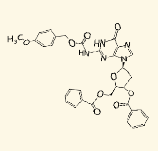 COc1ccc(COC(=O)Nc2nc3c(ncn3[C@H]3CC(OC(=O)c4ccccc4)[C@@H](COC(=O)c4ccccc4)O3)c(=O)[nH]2)cc1